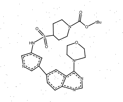 CC(C)(C)OC(=O)N1CCC(S(=O)(=O)Nc2cncc(-c3ccc4ncnc(N5CCOCC5)c4c3)c2)CC1